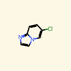 Clc1[c]n2ccnc2cc1